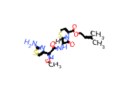 CON=C(C(=O)NC1C(=O)N2C(C(=O)OCC=C(C)C)=CCS[C@@H]12)c1csc(N)n1